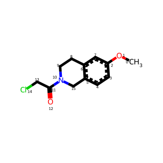 COc1ccc2c(c1)CCN(C(=O)CCl)C2